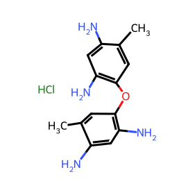 Cc1cc(Oc2cc(C)c(N)cc2N)c(N)cc1N.Cl